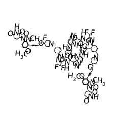 COc1ccc2c(c1C#CCOC1CCN(C[C@@H]3CC[C@@H](n4cc(NC(=O)c5cnn6ccc(N7C[C@H]8C[C@@H]7CO8)nc56)c(C(F)F)n4)C(C4O[C@@H]5C[C@H]4N(c4ccn6ncc(C(=O)Nc7cn([C@H]8CC[C@H](CN9CC[C@@H](OCC#Cc%10c(OC)ccc%11c%10n(C)c(=O)n%11C%10CCC(=O)NC%10=O)[C@@H](F)C9)CC8)nc7C(F)F)c6n4)C5)C3)CC1)n(C)c(=O)n2C1CCC(=O)NC1=O